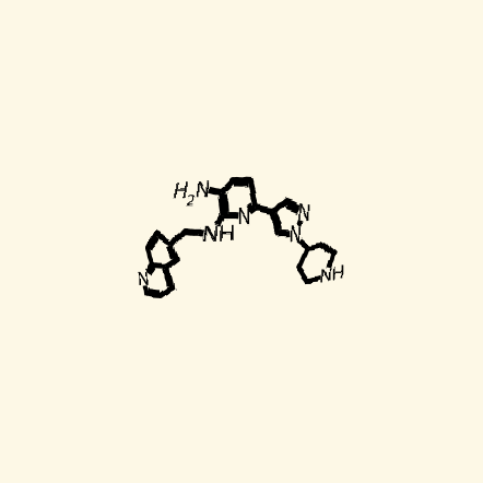 Nc1ccc(-c2cnn(C3CCNCC3)c2)nc1NCc1ccc2ncccc2c1